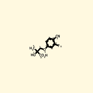 CC(O)(COc1ccc(C#N)c(F)c1)C(=O)O